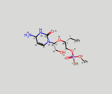 CC(C)C[C@H](COP(=O)(S)OC(C)C)O[C@H](CO)N1C=CC(N)NC1=O